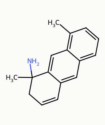 Cc1cccc2cc3c(cc12)C(C)(N)CC=C3